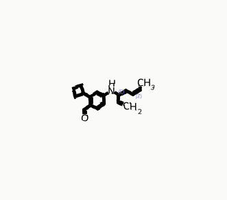 C=C/C(=C\C=C/C)Nc1ccc(C=O)c(C2CCC2)c1